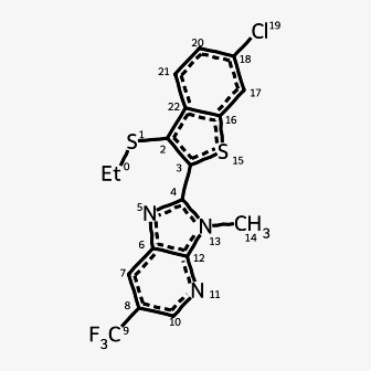 CCSc1c(-c2nc3cc(C(F)(F)F)cnc3n2C)sc2cc(Cl)ccc12